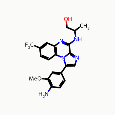 COc1cc(-c2cnc3c(NC(C)CO)nc4cc(C(F)(F)F)ccc4n23)ccc1N